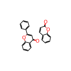 O=c1cc(-c2ccccc2)oc2ccccc12.O=c1ccc2ccccc2o1